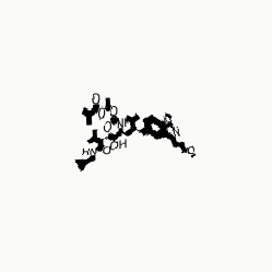 COCCCc1nn(C)c2ccc(C[C@H](C[C@H](NC(=O)OC(C)OC(=O)C(C)C)[C@H](O)C[C@H](C(=O)NCC3CC3)C(C)C)C(C)C)cc12